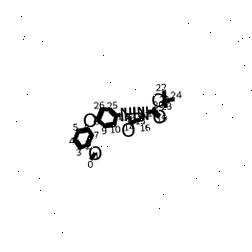 COc1cccc(Oc2ccc(NC(=O)[C@@H](C)NC(=O)OC(C)(C)C)cc2)c1